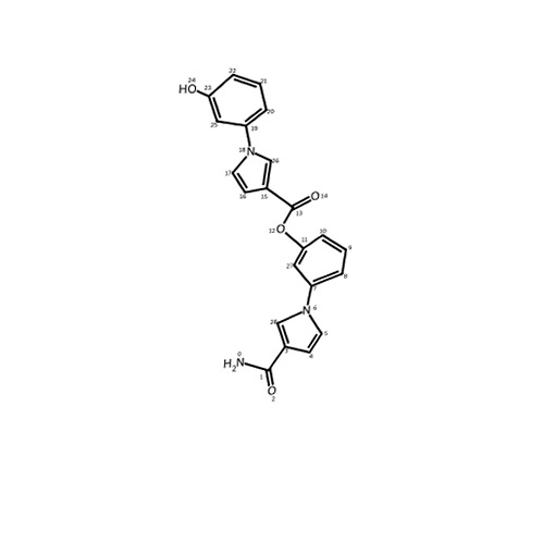 NC(=O)c1ccn(-c2cccc(OC(=O)c3ccn(-c4cccc(O)c4)c3)c2)c1